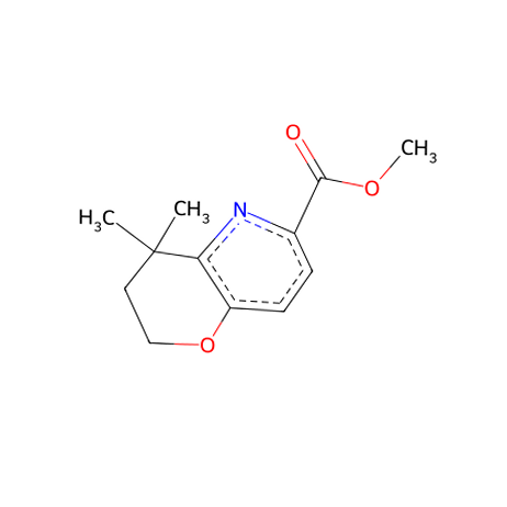 COC(=O)c1ccc2c(n1)C(C)(C)CCO2